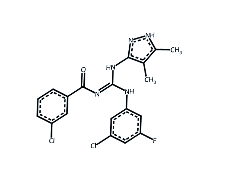 Cc1[nH]nc(N/C(=N\C(=O)c2cccc(Cl)c2)Nc2cc(F)cc(Cl)c2)c1C